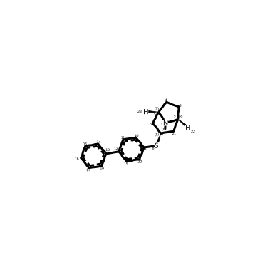 CN1[C@@H]2CC[C@H]1C[C@H](Sc1ccc(-c3ccccc3)cc1)C2